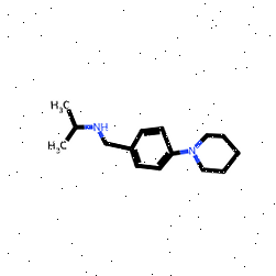 CC(C)NCc1ccc(N2CCCCC2)cc1